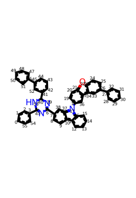 c1ccc(C2=NC(c3ccc4c5ccccc5n(-c5ccc6oc7ccc(-c8ccccc8)cc7c6c5)c4c3)=NC(c3cccc(-c4ccccc4)c3)N2)cc1